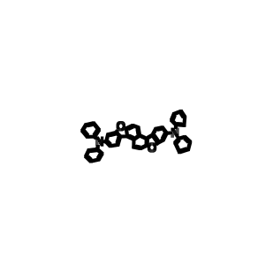 c1ccc(N(c2ccccc2)c2ccc3c(c2)oc2ccc4c(ccc5oc6cc(N(c7ccccc7)c7ccccc7)ccc6c54)c23)cc1